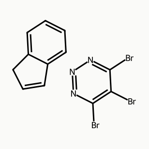 Brc1nnnc(Br)c1Br.C1=Cc2ccccc2C1